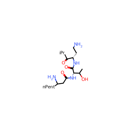 CCCCCC(N)CC(=O)N[C@H](C(=O)N[C@@H](CCN)C(=O)C(C)C)C(C)O